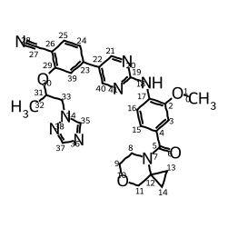 COc1cc(C(=O)N2CCOCC23CC3)ccc1Nc1ncc(-c2ccc(C#N)c(OC(C)Cn3cncn3)c2)cn1